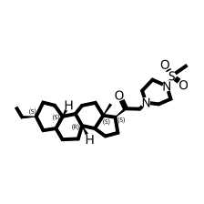 CC[C@H]1CC[C@H]2C(CC[C@@H]3C2CC[C@@]2(C)C3CC[C@@H]2C(=O)CN2CCN(S(C)(=O)=O)CC2)C1